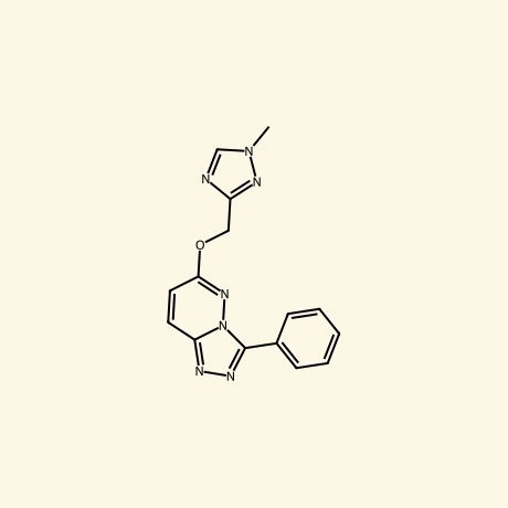 Cn1cnc(COc2ccc3nnc(-c4ccccc4)n3n2)n1